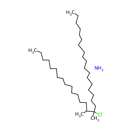 CCCCCCCCCCCCCCCCCCC(C)(Cl)C(C)CCCCCCCCCCCCCC.N